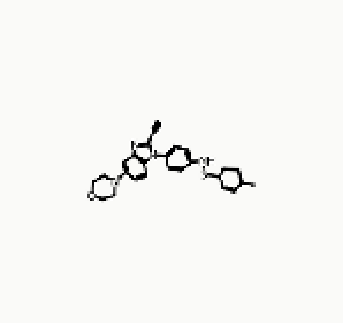 C#Cc1nc2cc(N3CCOCC3)ccc2n1-c1ccc(NSC2C=C[C@H](C)CC2)cc1